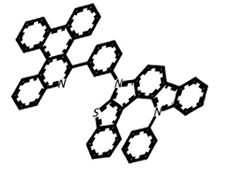 c1ccc(-n2c3ccccc3c3ccc4c(c5c6ccccc6sc5n4-c4cccc(-c5nc6ccccc6c6c7ccccc7c7ccccc7c56)c4)c32)cc1